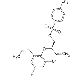 C=C[C@H](COS(=O)(=O)c1ccc(C)cc1)Oc1c(Br)cc(F)cc1/C=C\C